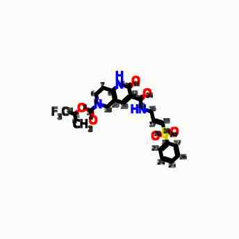 CC(OC(=O)N1CCc2[nH]c(=O)c(C(=O)NC/C=C/S(=O)(=O)c3ccccc3)cc2C1)C(F)(F)F